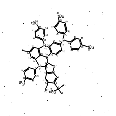 CCCCC(C)(C)c1cc2sc3c(c2cc1CC)N(c1ccc(C(C)(C)C)cc1)c1cc(C)cc2c1B3c1ccc(N(c3ccc(C(C)(C)C)cc3)c3ccc(C(C)(C)C)cc3)cc1N2c1ccc(C(C)(C)C)cc1